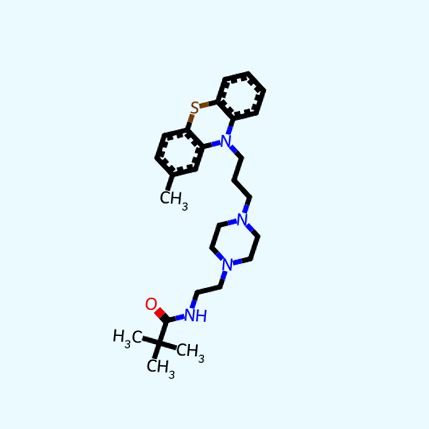 Cc1ccc2c(c1)N(CCCN1CCN(CCNC(=O)C(C)(C)C)CC1)c1ccccc1S2